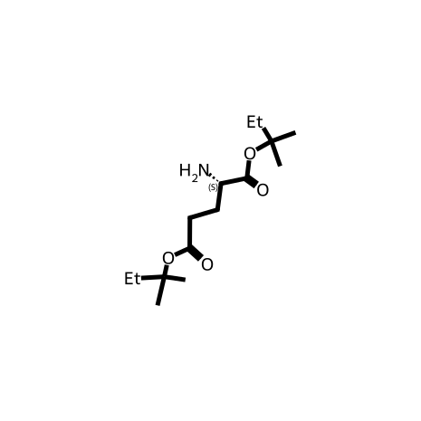 CCC(C)(C)OC(=O)CC[C@H](N)C(=O)OC(C)(C)CC